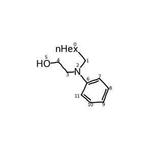 CCCCCCCN(CCO)c1ccccc1